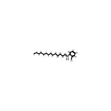 CCCCCCCCCCCCCCNc1ccccc1C